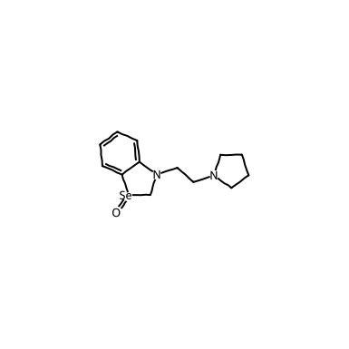 O=[Se]1CN(CCN2CCCC2)c2ccccc21